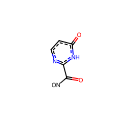 O=NC(=O)c1nccc(=O)[nH]1